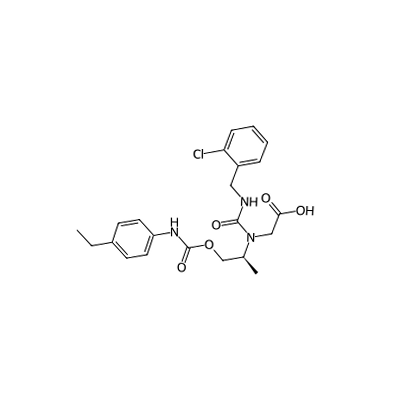 CCc1ccc(NC(=O)OC[C@H](C)N(CC(=O)O)C(=O)NCc2ccccc2Cl)cc1